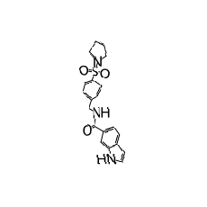 O=C(NCc1ccc(S(=O)(=O)N2CCCC2)cc1)c1ccc2cc[nH]c2c1